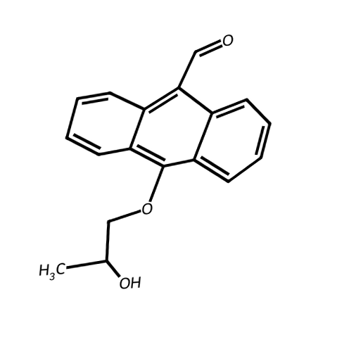 CC(O)COc1c2ccccc2c(C=O)c2ccccc12